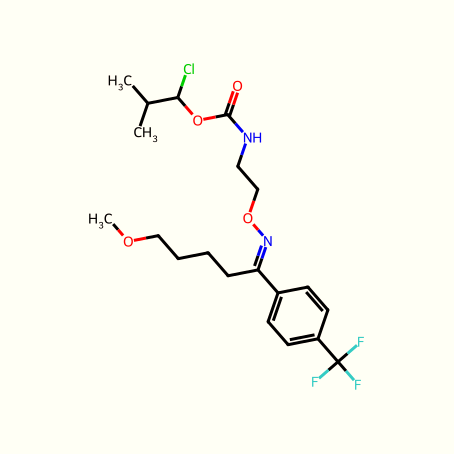 COCCCC/C(=N\OCCNC(=O)OC(Cl)C(C)C)c1ccc(C(F)(F)F)cc1